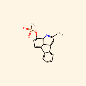 Cc1cc2c3c(ccc(OS(=O)(=O)C(F)(F)F)c3n1)-c1ccccc1-2